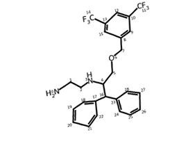 NCCNC(COCc1cc(C(F)(F)F)cc(C(F)(F)F)c1)C(c1ccccc1)c1ccccc1